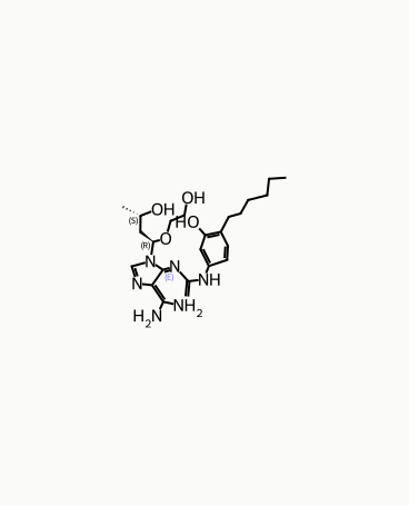 C=C(/N=C1\C(=C(N)N)N=CN1[C@@H](C[C@H](C)O)OCCO)Nc1ccc(CCCCCC)c(O)c1